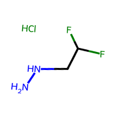 Cl.NNCC(F)F